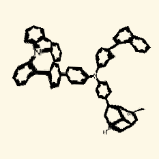 C[C@H]1CC2C[C@H]3CC(c4ccc(N(c5ccc(-c6ccc(-c7ccccc7-n7c8ccccc8c8ccccc87)cc6)cc5)c5ccc(-c6cccc7ccccc67)cc5)cc4)(CC23)C1